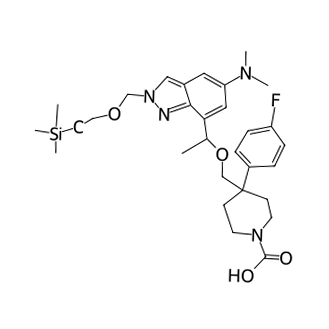 CC(OCC1(c2ccc(F)cc2)CCN(C(=O)O)CC1)c1cc(N(C)C)cc2cn(COCC[Si](C)(C)C)nc12